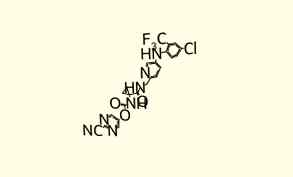 N#Cc1ncc(OC(=O)NC2(C(=O)NCc3ccc(Nc4ccc(Cl)cc4C(F)(F)F)cn3)CC2)cn1